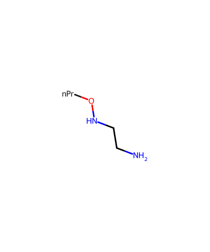 CCCONCCN